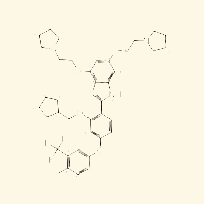 FC(F)(F)c1cc(Oc2ccc(-c3nc4c(OCCN5CCCC5)cc(OCCN5CCCC5)cc4[nH]3)c(OCC3CCCC3)c2)ccc1Cl